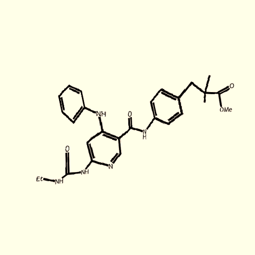 CCNC(=O)Nc1cc(Nc2ccccc2)c(C(=O)Nc2ccc(CC(C)(C)C(=O)OC)cc2)cn1